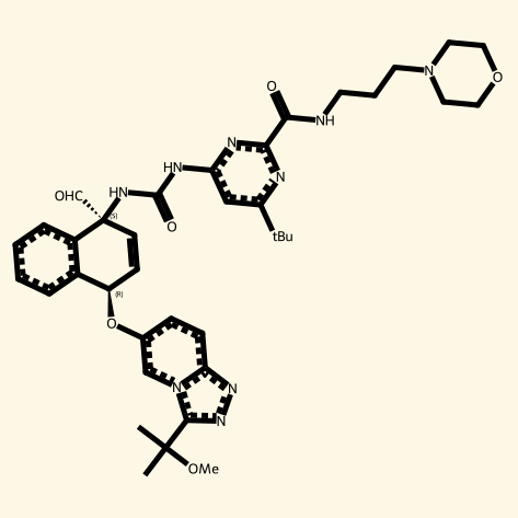 COC(C)(C)c1nnc2ccc(O[C@@H]3C=C[C@](C=O)(NC(=O)Nc4cc(C(C)(C)C)nc(C(=O)NCCCN5CCOCC5)n4)c4ccccc43)cn12